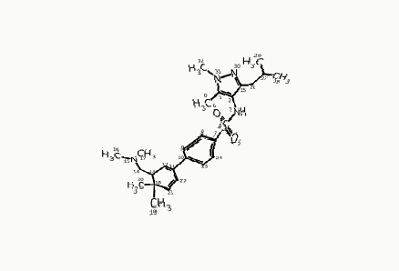 Cc1c(NS(=O)(=O)c2ccc(C3=CC(CN(C)C)C(C)(C)C=C3)cc2)c(CC(C)C)nn1C